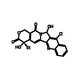 CC[C@@]1(O)C(=O)OCc2c1cc1n(c2=O)C(O)c2c-1nc1ccccc1c2Cl